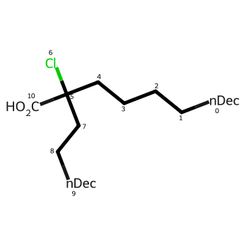 CCCCCCCCCCCCCCC(Cl)(CCCCCCCCCCCC)C(=O)O